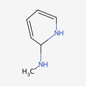 CNC1C=C[C]=CN1